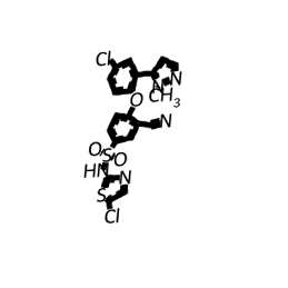 Cn1nccc1-c1cc(Cl)ccc1Oc1ccc(S(=O)(=O)Nc2ncc(Cl)s2)cc1C#N